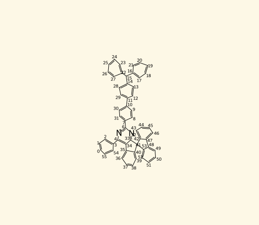 c1ccc(-c2nc(-c3ccc(-c4ccc(C(c5ccccc5)c5ccccc5)cc4)cc3)nc3c2-c2ccccc2C32c3ccccc3-c3ccccc32)cc1